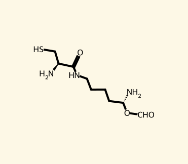 N[C@@H](CCCCNC(=O)[C@@H](N)CS)OC=O